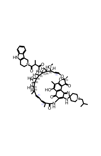 CO[C@H]1/C=C/O[C@@]2(C)Oc3c(C)c(O)c4c(c3C2=O)C2=NC3(CCN(CC(C)C)CC3)NC2=C(NC(=O)/C(C)=C\C=C\[C@H](C)[C@H](O)[C@@H](C)[C@@H](O)[C@@H](C)[C@H](OC(=O)C(C)C(=O)N2CCc3[nH]c5ccccc5c3C2)[C@@H]1C)C4=O